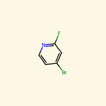 Fc1[c]c(Br)ccn1